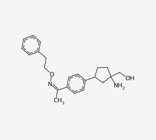 CC(=NOCCc1ccccc1)c1ccc(C2CCC(N)(CO)C2)cc1